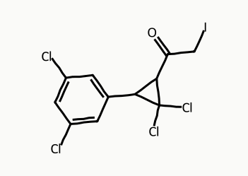 O=C(CI)C1C(c2cc(Cl)cc(Cl)c2)C1(Cl)Cl